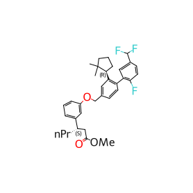 CCC[C@@H](CC(=O)OC)c1cccc(OCc2ccc(-c3cc(C(F)F)ccc3F)c([C@@H]3CCCC3(C)C)c2)c1